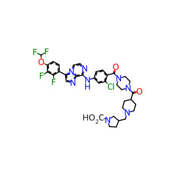 O=C(O)N1CCC(CN2CCC(C(=O)N3CCN(C(=O)c4ccc(Nc5nccn6c(-c7ccc(OC(F)F)c(F)c7F)cnc56)cc4Cl)CC3)CC2)C1